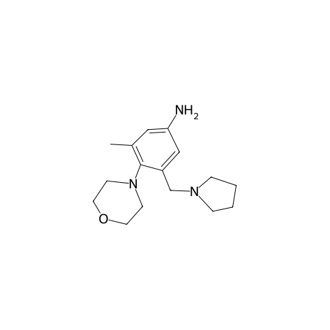 Cc1cc(N)cc(CN2CCCC2)c1N1CCOCC1